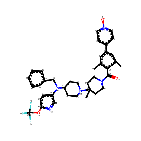 Cc1cc(-c2cc[n+]([O-])cc2)cc(C)c1C(=O)N1CCC(C)(N2CCC(N(Cc3ccccc3)c3ccc(OC(F)(F)F)nc3)CC2)CC1